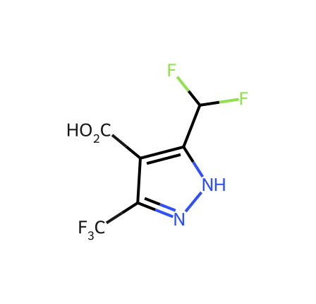 O=C(O)c1c(C(F)(F)F)n[nH]c1C(F)F